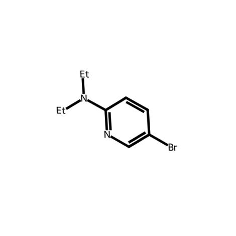 CCN(CC)c1ccc(Br)cn1